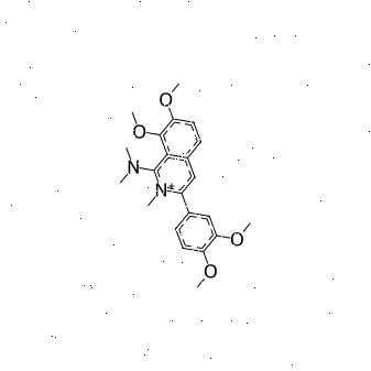 COc1ccc(-c2cc3ccc(OC)c(OC)c3c(N(C)C)[n+]2C)cc1OC